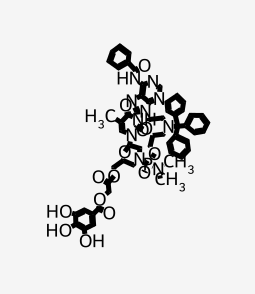 Cc1cn(C2CN(P(=O)(OCC3CN(C(c4ccccc4)(c4ccccc4)c4ccccc4)CC(n4cnc5c(NC(=O)c6ccccc6)ncnc54)O3)N(C)C)CC(COC(=O)COC(=O)c3cc(O)c(O)c(O)c3)O2)c(=O)[nH]c1=O